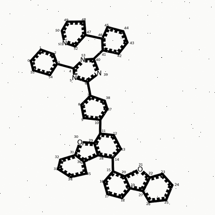 c1ccc(-c2nc(-c3ccc(-c4ccc(-c5cccc6c5oc5ccccc56)c5c4oc4ccccc45)cc3)nc(-c3ccccc3-c3cccnc3)n2)cc1